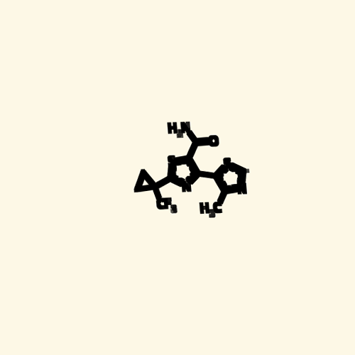 Cc1n[c]sc1-c1nc(C2(C(F)(F)F)CC2)sc1C(N)=O